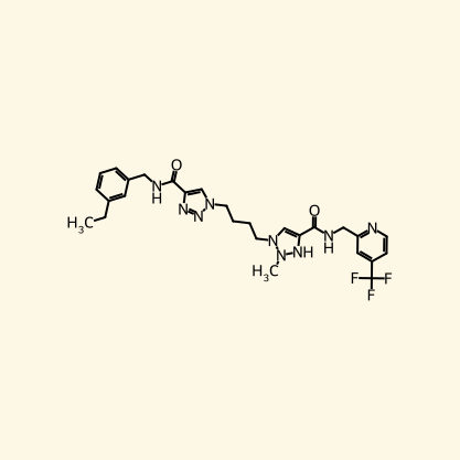 CCc1cccc(CNC(=O)c2cn(CCCCN3C=C(C(=O)NCc4cc(C(F)(F)F)ccn4)NN3C)nn2)c1